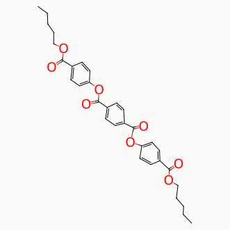 CCCCCOC(=O)c1ccc(OC(=O)c2ccc(C(=O)Oc3ccc(C(=O)OCCCCC)cc3)cc2)cc1